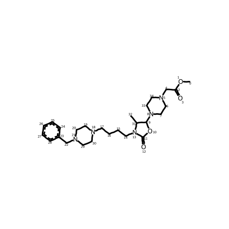 COC(=O)CN1CCN(C2OC(=O)N(CCCCN3CCN(Cc4ccccc4)CC3)C2C)CC1